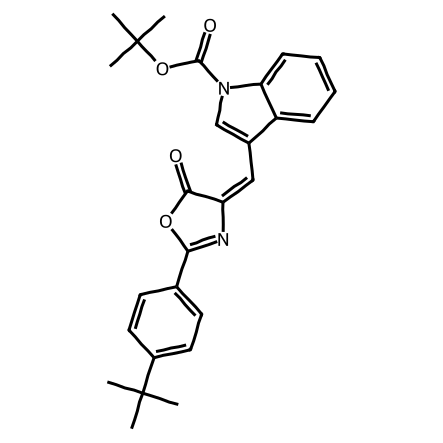 CC(C)(C)OC(=O)n1cc(C=C2N=C(c3ccc(C(C)(C)C)cc3)OC2=O)c2ccccc21